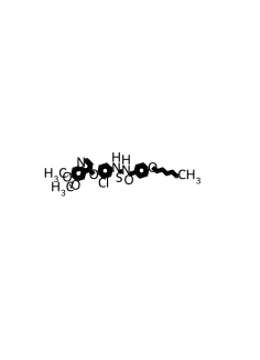 CCCCCCOc1ccc(C(=O)NC(=S)Nc2ccc(Oc3ccnc4cc(OC)c(OC)cc34)c(Cl)c2)cc1